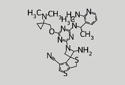 C[C@H](c1cccnc1N)N(C)c1nc(OCC2(N(C)C)CC2)nc(N2CC3(SCc4scc(C#N)c43)C2N)n1